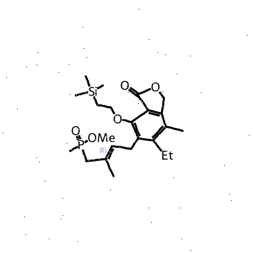 CCc1c(C)c2c(c(OCC[Si](C)(C)C)c1C/C=C(\C)CP(C)(=O)OC)C(=O)OC2